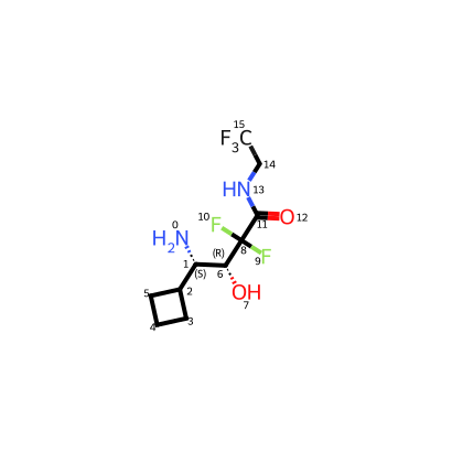 N[C@@H](C1CCC1)[C@@H](O)C(F)(F)C(=O)NCC(F)(F)F